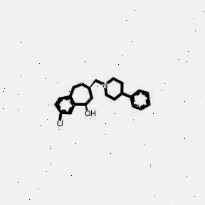 O[C@@H]1C[C@H](CN2CCC(c3ccccc3)CC2)CCc2ccc(Cl)cc21